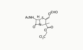 CC(=O)NC1C(=O)N2CC(C)(C(=O)OCC(Cl)(Cl)Cl)C(=COC=O)S[C@H]12